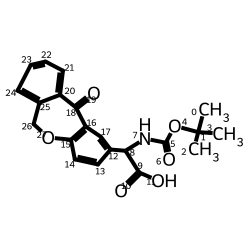 CC(C)(C)OC(=O)NC(C(=O)O)c1ccc2c(c1)C(=O)c1ccccc1CO2